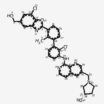 Cc1c(-c2nc3cc(CO)cc(Cl)c3o2)cccc1-c1cccc(Nc2nccc3cc(CN4CC[C@H](O)C4)cnc23)c1Cl